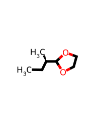 CC[C@@H](C)C1OCCO1